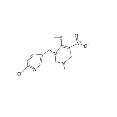 CSC1=C([N+](=O)[O-])CN(C)CN1Cc1ccc(Cl)nc1